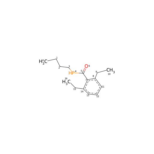 CCCCPC(=O)c1c(CC)cccc1CC